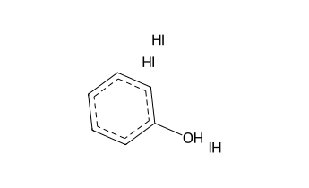 I.I.I.Oc1ccccc1